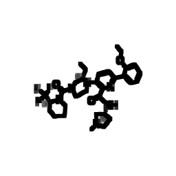 CCOc1ccccc1-c1ccc(N2CCN(C(=O)N3CCCC[C@H]3C(F)(F)F)C[C@H]2CC)c(C(=O)N[C@@H]2CCN(C)C2)n1